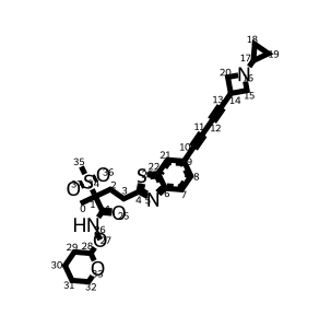 CC(CCc1nc2ccc(C#CC#CC3CN(C4CC4)C3)cc2s1)(C(=O)NOC1CCCCO1)S(C)(=O)=O